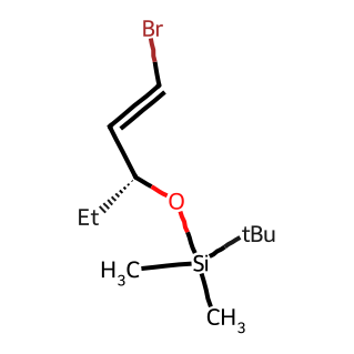 CC[C@H](/C=C/Br)O[Si](C)(C)C(C)(C)C